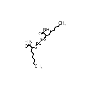 CCCCCCC(SSSSSC(CCCCCC)C(N)=O)C(N)=O